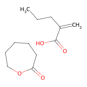 C=C(CCC)C(=O)O.O=C1CCCCCO1